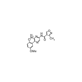 COc1ccc(Cl)c(-c2ncc(NC(=O)c3conc3C)nc2N)c1